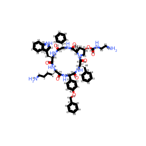 NCCCC[C@@H]1NC(=O)[C@@H](Cc2c[nH]c3ccccc23)NC(=O)[C@H](c2ccccc2)NC(=O)[C@@H]2C[C@@H](OC(=O)NCCN)CN2C(=O)[C@H](Cc2ccccc2)NC(=O)C(c2ccc(OCc3ccccc3)cc2)NC1=O